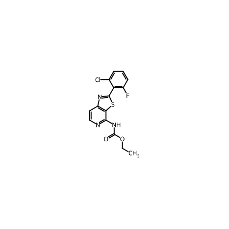 CCOC(=O)Nc1nccc2nc(-c3c(F)cccc3Cl)sc12